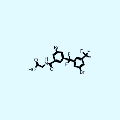 O=C(O)CNC(=O)c1cc(Br)cc(C(F)(F)c2cc(Br)cc(C(F)(F)F)c2)c1